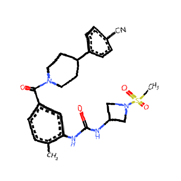 Cc1ccc(C(=O)N2CCC(c3ccc(C#N)cc3)CC2)cc1NC(=O)NC1CN(S(C)(=O)=O)C1